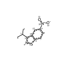 CC(C)c1nsc2ccc([N+](=O)[O-])cc12